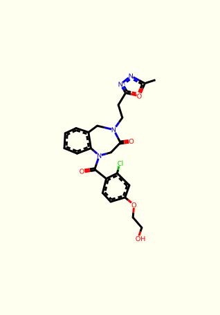 Cc1nnc(CCN2Cc3ccccc3N(C(=O)c3ccc(OCCO)cc3Cl)CC2=O)o1